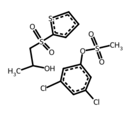 CC(O)CS(=O)(=O)c1cccs1.CS(=O)(=O)Oc1cc(Cl)cc(Cl)c1